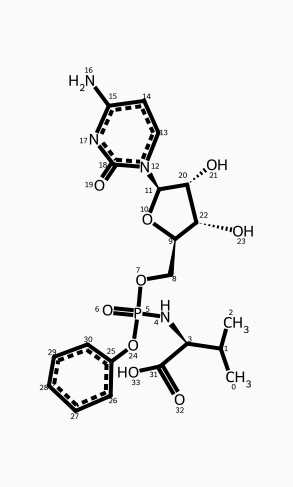 CC(C)[C@H](NP(=O)(OC[C@H]1O[C@@H](n2ccc(N)nc2=O)[C@H](O)[C@@H]1O)Oc1ccccc1)C(=O)O